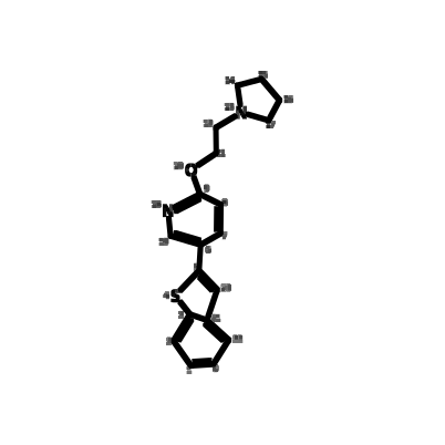 c1ccc2sc(-c3ccc(OCCN4CCCC4)nc3)cc2c1